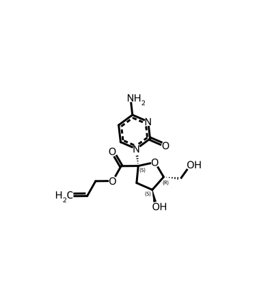 C=CCOC(=O)[C@]1(n2ccc(N)nc2=O)C[C@H](O)[C@@H](CO)O1